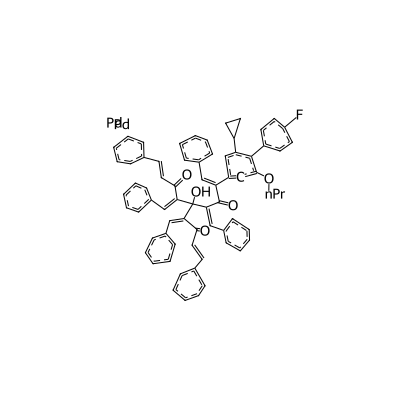 CCCOc1cc(C(=Cc2ccccc2)C(=O)C(=Cc2ccccc2)C(O)(C(=Cc2ccccc2)C(=O)C=Cc2ccccc2)C(=Cc2ccccc2)C(=O)C=Cc2ccccc2)cc(C2CC2)c1-c1ccc(F)cc1.[Pd].[Pd]